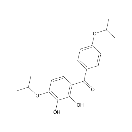 CC(C)Oc1ccc(C(=O)c2ccc(OC(C)C)c(O)c2O)cc1